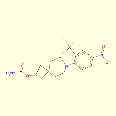 NC(=O)OC1CC2(CCN(c3ccc([N+](=O)[O-])cc3C(F)(F)F)CC2)C1